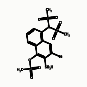 CCc1cc2c(N(S(C)(=O)=O)S(C)(=O)=O)cccc2c(OS(C)(=O)=O)c1S(=O)(=O)O